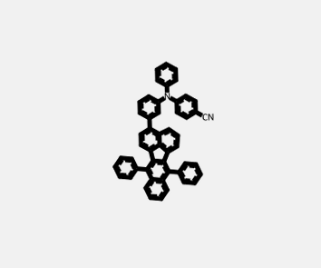 N#Cc1ccc(N(c2ccccc2)c2cccc(-c3ccc4c5c(cccc35)-c3c-4c(-c4ccccc4)c4ccccc4c3-c3ccccc3)c2)cc1